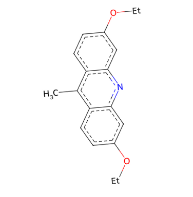 CCOc1ccc2c(C)c3ccc(OCC)cc3nc2c1